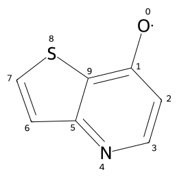 [O]c1ccnc2ccsc12